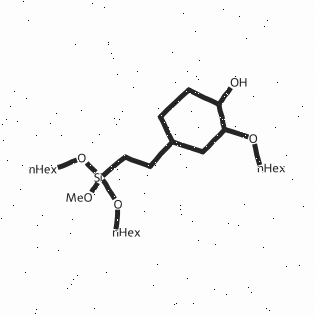 CCCCCCOC1CC(CC[Si](OC)(OCCCCCC)OCCCCCC)CCC1O